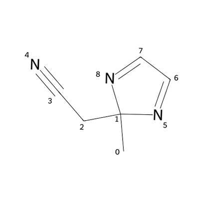 CC1(CC#N)N=CC=N1